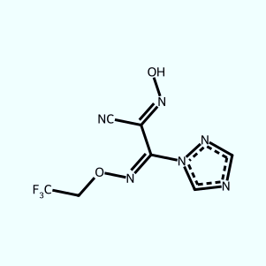 N#CC(=NO)C(=NOCC(F)(F)F)n1cncn1